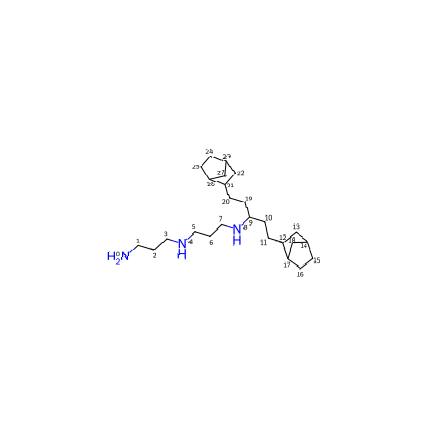 NCCCNCCCNC(CCC1CC2CCC1C2)CCC1CC2CCC1C2